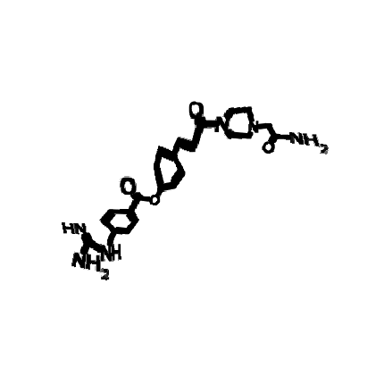 N=C(N)Nc1ccc(C(=O)Oc2ccc(C=CC(=O)N3CCN(CC(N)=O)CC3)cc2)cc1